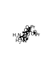 C#C[C@]1(O)[C@H](n2cc(C(N)=O)c3c(N)ncnc32)O[C@H](COC(=O)C(C)C)[C@@]1(C)OC(=O)C(C)C